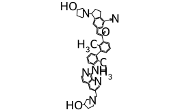 Cc1c(Nc2nccc3cc(CN4CC[C@@H](O)C4)cnc23)cccc1-c1cccc(-c2cc3cc4c(c(C#N)c3o2)CCC4N2CC[C@@H](O)C2)c1C